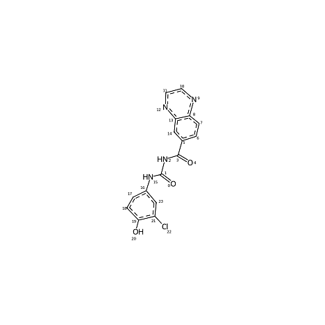 O=C(NC(=O)c1ccc2nccnc2c1)Nc1ccc(O)c(Cl)c1